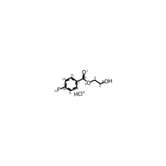 Cl.O=C(OCCO)c1ccc(F)cc1